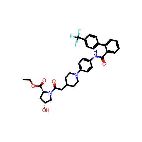 CCOC(=O)[C@@H]1C[C@@H](O)CN1C(=O)CC1CCN(c2ccc(NC(=O)c3ccccc3-c3ccc(C(F)(F)F)cc3)cc2)CC1